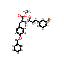 COC(=O)C(Cc1ccc(OCc2ccccc2)cc1)NC(=O)/C=C/c1cccc(Br)c1